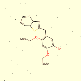 COCOc1cc(OCOC)c(CC2=CC3C=CC=CC3S2)cc1Br